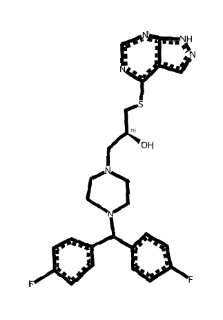 O[C@H](CSc1ncnc2[nH]ncc12)CN1CCN(C(c2ccc(F)cc2)c2ccc(F)cc2)CC1